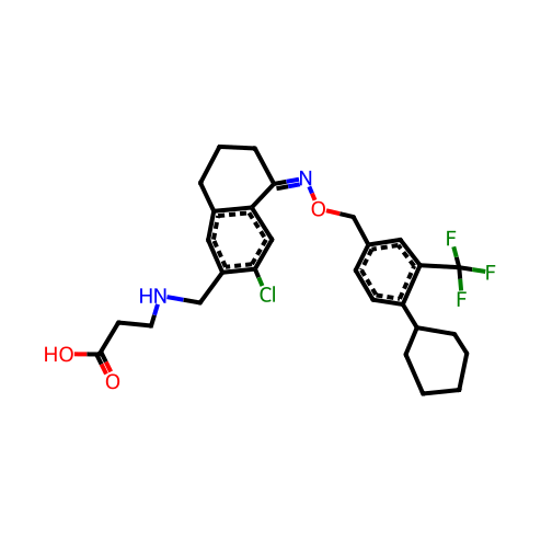 O=C(O)CCNCc1cc2c(cc1Cl)/C(=N\OCc1ccc(C3CCCCC3)c(C(F)(F)F)c1)CCC2